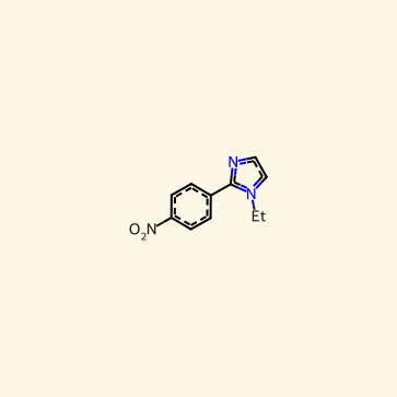 CCn1ccnc1-c1ccc([N+](=O)[O-])cc1